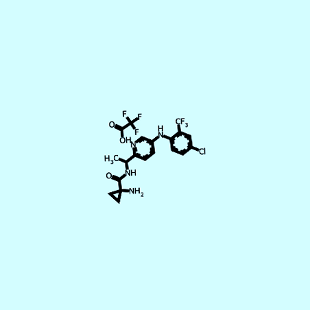 CC(NC(=O)C1(N)CC1)c1ccc(Nc2ccc(Cl)cc2C(F)(F)F)cn1.O=C(O)C(F)(F)F